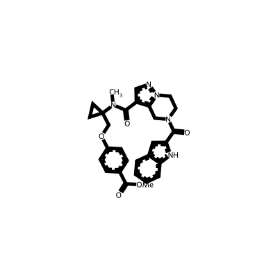 COC(=O)c1ccc(OCC2(N(C)C(=O)c3cnn4c3CN(C(=O)c3cc5ccccc5[nH]3)CC4)CC2)cc1